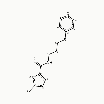 Cc1ccc(C(=O)NCCCSc2ccncc2)s1